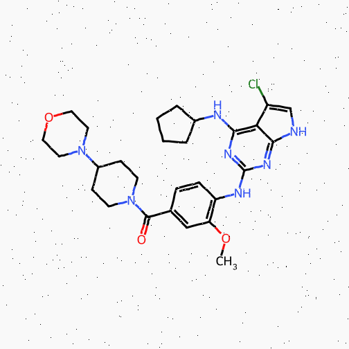 COc1cc(C(=O)N2CCC(N3CCOCC3)CC2)ccc1Nc1nc(NC2CCCC2)c2c(Cl)c[nH]c2n1